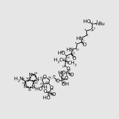 CCCC[C@H](O)SCCNC(=O)CCNC(=O)[C@H](O)C(C)(C)COP(=O)(O)OP(=O)(O)OC[C@H]1O[C@@H](n2cnc3c(N)ncnc32)[C@H](O)[C@@H]1OP(=O)(O)O